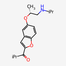 CC(C)NC[C@@H](C)Oc1ccc2oc(C(=O)C(C)C)cc2c1